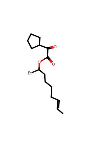 CC=CCCCCC(CC)OC(=O)C(=O)C1CCCC1